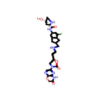 O=C1COc2ncc(N3CC(CCNCC4Cc5cc(NC(=O)[C@@H]6C[C@H](O)CN6)cc(F)c5C4)OC3=O)nc2N1